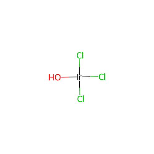 [OH][Ir]([Cl])([Cl])[Cl]